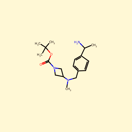 CC(N)c1ccc(CN(C)C2CN(C(=O)OC(C)(C)C)C2)cc1